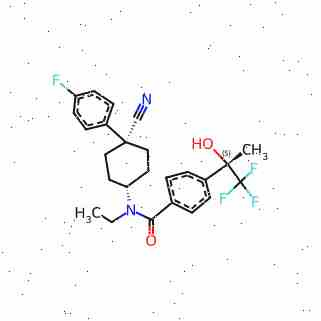 CCN(C(=O)c1ccc([C@](C)(O)C(F)(F)F)cc1)[C@H]1CC[C@](C#N)(c2ccc(F)cc2)CC1